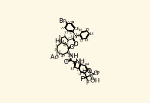 CC(=O)N1CC[C@H]2CC[C@@H](C(=O)N(c3ccccc3)c3ccc(Br)cc3)N2C(=O)[C@@H](NC(=O)c2cc3cc(C(F)(F)P(=O)(O)O)ccc3[nH]2)C1